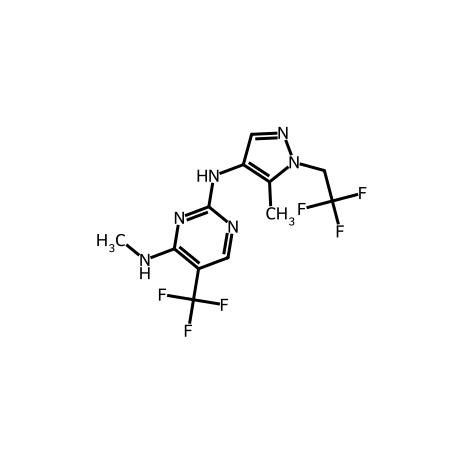 CNc1nc(Nc2cnn(CC(F)(F)F)c2C)ncc1C(F)(F)F